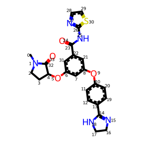 CN1CCC(Oc2cc(Oc3ccc(C4=NCCN4)cc3)cc(C(=O)Nc3nccs3)c2)C1=O